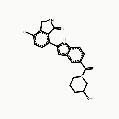 O=C1NCc2c(Cl)ccc(-c3cc4cc(C(=O)N5CCCC(O)C5)ccc4[nH]3)c21